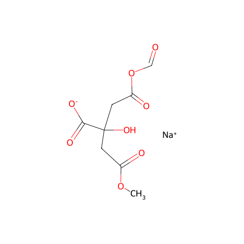 COC(=O)CC(O)(CC(=O)OC=O)C(=O)[O-].[Na+]